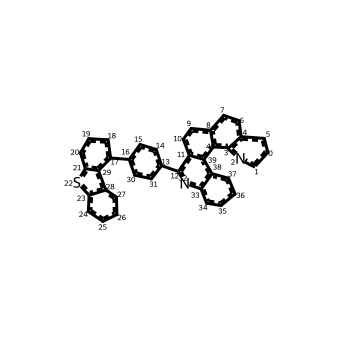 c1cnc2c(c1)ccc1ccc3c(-c4ccc(-c5cccc6sc7ccccc7c56)cc4)nc4ccccc4c3c12